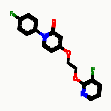 O=c1cc(OCCOc2ncccc2F)ccn1-c1ccc(F)cc1